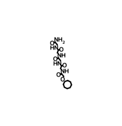 NC(=O)CNC(=O)CNC(=O)CNC(=O)CNC(=O)COC1CCCCCCC1